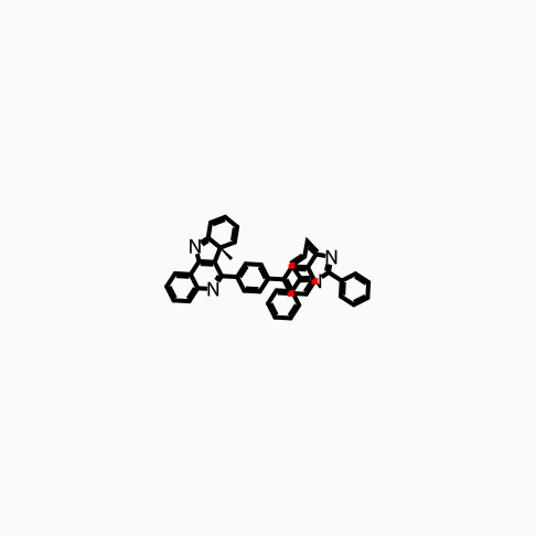 C[C@]12C=CC=CC1=Nc1c2c(-c2ccc(-c3cccc(C4=C\C=C\C(c5ccccc5)=N/C(c5ccccc5)=N\4)c3)cc2)nc2ccccc12